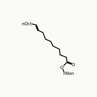 CCCCCCCCC=CCCCCCCCC(=O)OCCCCCCCCC